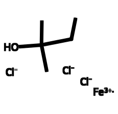 CCC(C)(C)O.[Cl-].[Cl-].[Cl-].[Fe+3]